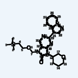 C[Si](C)(C)CCOCn1c(=O)n(C2CCCOC2)c2nc(-c3cnn4ccccc34)ncc21